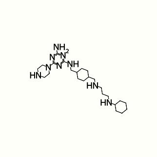 Nc1nc(NCC2CCC(CNCCCNC3CCCCC3)CC2)nc(N2CCNCC2)n1